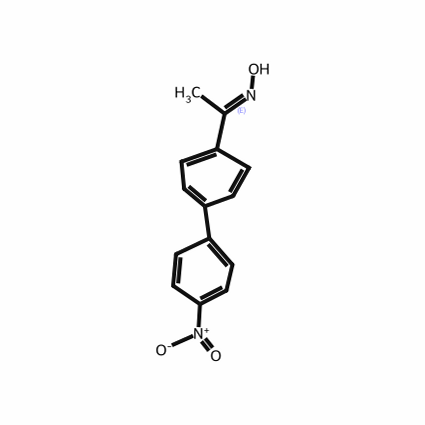 C/C(=N\O)c1ccc(-c2ccc([N+](=O)[O-])cc2)cc1